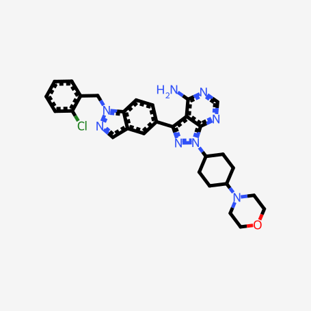 Nc1ncnc2c1c(-c1ccc3c(cnn3Cc3ccccc3Cl)c1)nn2C1CCC(N2CCOCC2)CC1